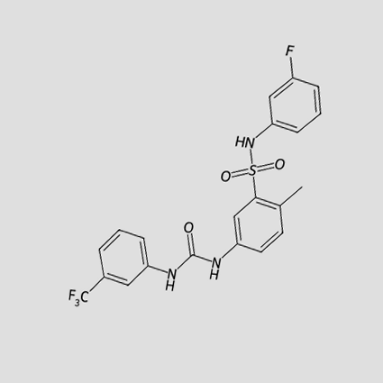 Cc1ccc(NC(=O)Nc2cccc(C(F)(F)F)c2)cc1S(=O)(=O)Nc1cccc(F)c1